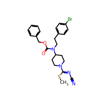 CS/C(=N\C#N)N1CCC(N(CCc2ccc(Br)cc2)C(=O)OCc2ccccc2)CC1